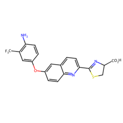 Nc1ccc(Oc2ccc3nc(C4=NC(C(=O)O)CS4)ccc3c2)cc1C(F)(F)F